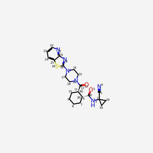 N#CC1(NC(=O)[C@@H]2CCCC[C@H]2C(=O)N2CCN(c3nc4ncccc4s3)CC2)CC1